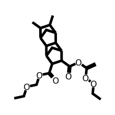 C=C(OOCC)OC(=O)C1C2CC(C1C(=O)OCOCC)C1C3CC(C(C)C3C)C21